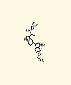 CCOc1ncc2c(-c3ccn4ncc(C(=O)NC5CC(F)(F)C5)c4c3)c[nH]c2n1